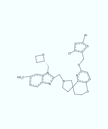 CC(=O)c1cc(Cl)c(COc2ccc3c(n2)C2(CCO3)CCN(Cc3nc4ccc(C(=O)O)cc4n3C[C@@H]3CCO3)C2)s1